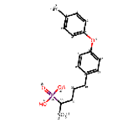 CCCc1ccc(Oc2ccc(CCCC(P(=O)(O)O)S(=O)(=O)O)cc2)cc1